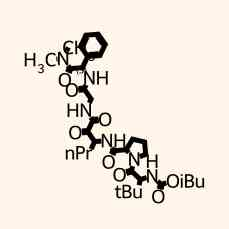 CCCC(NC(=O)C1CCCN1C(=O)C(NC(=O)OCC(C)C)C(C)(C)C)C(=O)C(=O)NCC(=O)N[C@H](C(=O)N(C)C)c1ccccc1